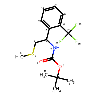 CSCC(NC(=O)OC(C)(C)C)c1ccccc1C(F)(F)F